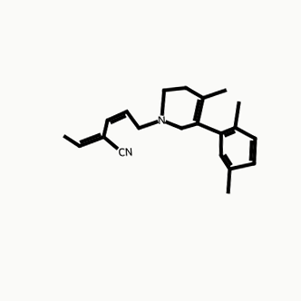 C/C=C(C#N)\C=C/CN1CCC(C)=C(c2cc(C)ccc2C)C1